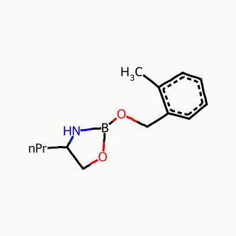 CCCC1COB(OCc2ccccc2C)N1